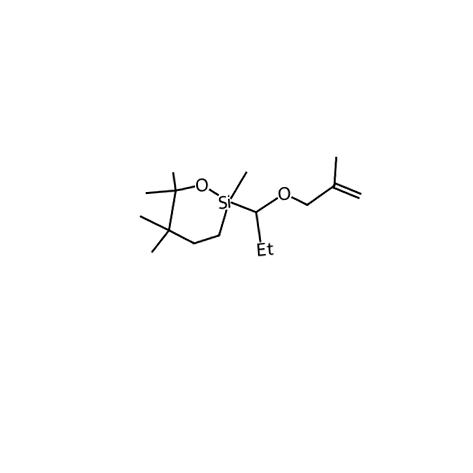 C=C(C)COC(CC)[Si]1(C)CCC(C)(C)C(C)(C)O1